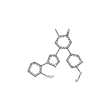 CCOc1ccc(-c2cc(=O)n(C)cc2-c2cnn(-c3ccccc3C(=O)O)c2)cn1